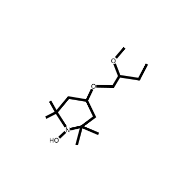 CCC(COC1CC(C)(C)N(O)C(C)(C)C1)OC